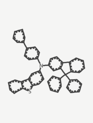 c1ccc(-c2ccc(N(c3ccc4c(c3)C(c3ccccc3)(c3ccccc3)c3ccccc3-4)c3ccc4sc5ccccc5c4c3)cc2)cc1